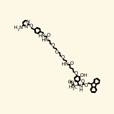 CC(NC(=O)OCC1c2ccccc2-c2ccccc21)c1cc(O)c(OCCCC(=O)NCCOCCOCCOCCNC(=O)NCc2ccc(COc3nccc(N)n3)cc2)cc1[N+](=O)[O-]